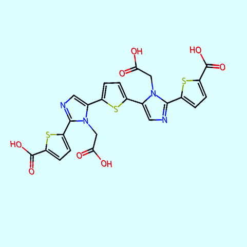 O=C(O)Cn1c(-c2ccc(-c3cnc(-c4ccc(C(=O)O)s4)n3CC(=O)O)s2)cnc1-c1ccc(C(=O)O)s1